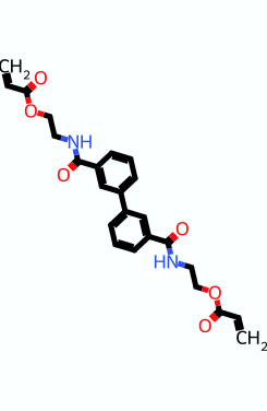 C=CC(=O)OCCNC(=O)c1cccc(-c2cccc(C(=O)NCCOC(=O)C=C)c2)c1